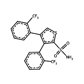 NS(=O)(=O)c1scc(-c2ccccc2C(F)(F)F)c1-c1ccccc1C(F)(F)F